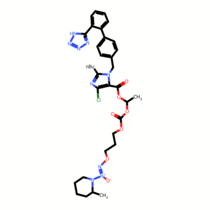 CCCCc1nc(Cl)c(C(=O)OC(C)OC(=O)OCCCO/N=[N+](\[O-])N2CCCCC2C)n1Cc1ccc(-c2ccccc2-c2nnn[nH]2)cc1